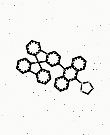 c1ccc2c(c1)-c1ccccc1C21c2ccccc2-c2ccc(-c3c4ccccc4c(B4OCCO4)c4ccccc34)cc21